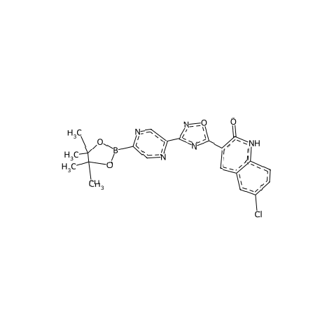 CC1(C)OB(c2cnc(-c3noc(-c4cc5cc(Cl)ccc5[nH]c4=O)n3)cn2)OC1(C)C